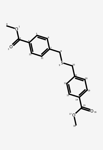 COC(=O)c1ccc(CSCc2ccc(C(=O)OC)cc2)cc1